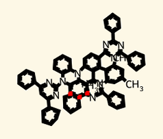 Cc1cc(C)c(-c2c(-c3nc(-c4ccccc4)nc(-c4ccccc4)n3)ccc(N3c4ccccc4N(c4nc(-c5ccccc5)cc(-c5ccccc5)n4)c4ccccc43)c2-c2nc(-c3ccccc3)nc(-c3ccccc3)n2)c(C)c1